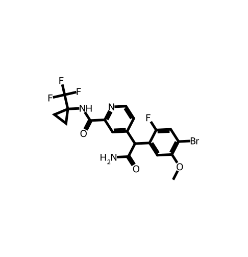 COc1cc(C(C(N)=O)c2ccnc(C(=O)NC3(C(F)(F)F)CC3)c2)c(F)cc1Br